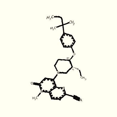 CC[C@@H]1CN(c2cc(=O)n(C)c3ccc(C#N)nc23)CC[C@H]1Oc1ccc(C(C)(C)CC)cc1